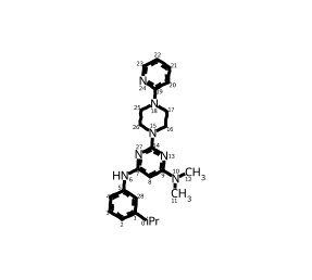 CC(C)c1cccc(Nc2cc(N(C)C)nc(N3CCN(c4ccccn4)CC3)n2)c1